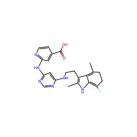 CC1=c2c(CCNc3cc(Nc4cc(C(=O)O)ccn4)ncn3)c(C)[nH]c2=C(F)CC1